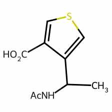 CC(=O)NC(C)c1cscc1C(=O)O